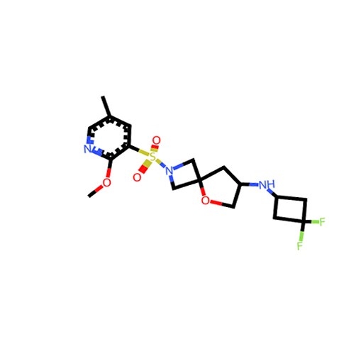 COc1ncc(C)cc1S(=O)(=O)N1CC2(CC(NC3CC(F)(F)C3)CO2)C1